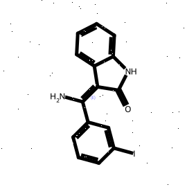 N/C(=C1/C(=O)Nc2ccccc21)c1cccc(I)c1